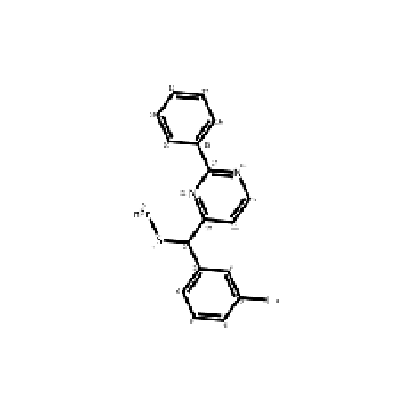 CCCSC(c1cccc(I)c1)c1ccnc(-c2ccccc2)n1